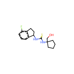 OCC1(NC(=S)NC2CCc3c(F)cccc32)CCCC1